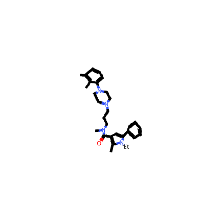 CCn1c(-c2ccccc2)cc(C(=O)N(C)CCCN2CCN(c3cccc(C)c3C)CC2)c1C